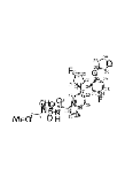 COCCN(C)S(=O)(=O)NC(=O)c1cnc2ccc(N3C[C@@H](F)C[C@@H]3c3cc(F)ccc3OC3CCOC3)cn12